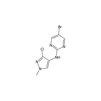 Cn1cc(Nc2ncc(Br)cn2)c(Cl)n1